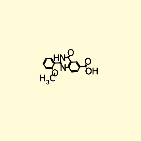 COc1ccccc1-c1nc2ccc(C(=O)O)cc2c(=O)[nH]1